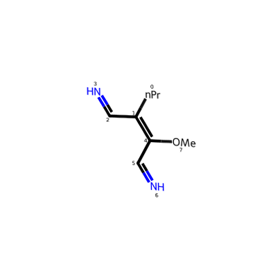 CCC/C(C=N)=C(/C=N)OC